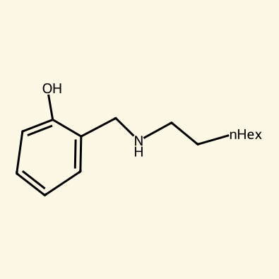 CCCCCCCCNCc1ccccc1O